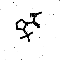 CNC(=S)N1CCCC1C(C)(C)C